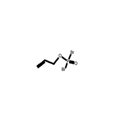 C=CCOP(=O)(Br)Br